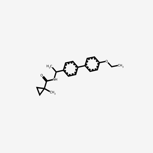 CCOc1ccc(-c2ccc(C(C)NC(=O)C3(C)CC3)cc2)cc1